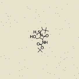 CC([SiH2]N1C(=O)C(NC(=O)OC(C)(C)C)C1CO)C(C)(C)C